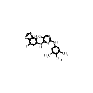 Cc1cnc(Nc2cc(C)c(C)c(C)c2)nc1Nc1cc(F)c2ocnc2c1